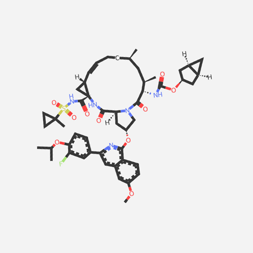 COc1ccc2c(O[C@@H]3C[C@H]4C(=O)N[C@]5(C(=O)NS(=O)(=O)C6(C)CC6)C[C@@H]5/C=C\CC[C@@H](C)C[C@@H](C)[C@H](NC(=O)O[C@@H]5C[C@@H]6C[C@@H]6C5)C(=O)N4C3)nc(-c3ccc(OC(C)C)c(F)c3)cc2c1